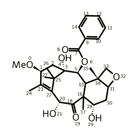 CO[C@H]1C[C@@]2(O)[C@@H](OC(=O)c3ccccc3)C3C(C)(C(=O)[C@H](O)C(=C1C)C2(C)C)[C@@H](O)CC1OC[C@]13C